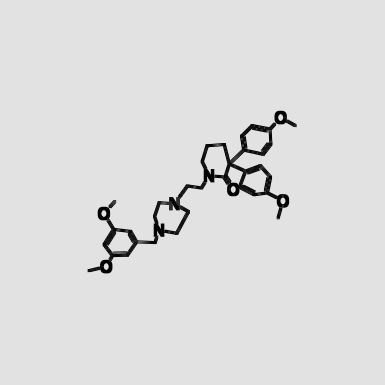 COc1ccc(C2(c3ccc(OC)cc3)CCCN(CCN3CCN(Cc4cc(OC)cc(OC)c4)CC3)C2=O)cc1